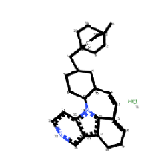 CC12CCC(CC3CCC4C(C=CC5=CCCc6c5n4c4ccncc64)C3)(CC1)CC2.Cl